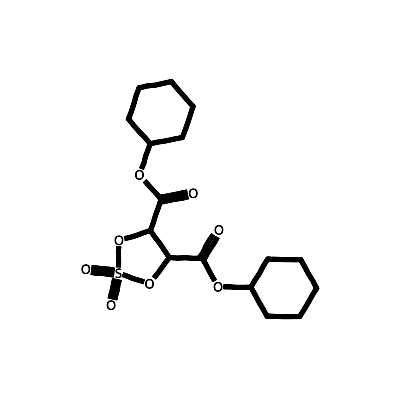 O=C(OC1CCCCC1)C1OS(=O)(=O)OC1C(=O)OC1CCCCC1